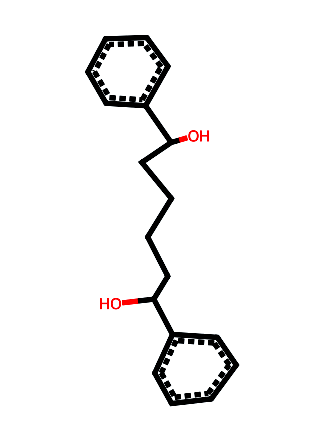 OC(CCCCC(O)c1ccccc1)c1ccccc1